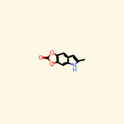 Cc1cc2cc3oc(=O)oc3cc2[nH]1